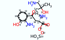 CC(C)(O)CN.Nc1c(O)cccc1C(=O)C[C@H](N)C(=O)OOS(=O)(=O)O